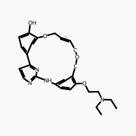 CCN(CC)CCOc1ccc2cc1COC/C=C/COc1cc(ccc1O)-c1ccnc(n1)N2